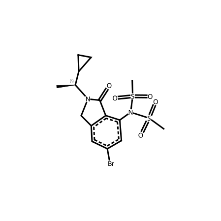 C[C@@H](C1CC1)N1Cc2cc(Br)cc(N(S(C)(=O)=O)S(C)(=O)=O)c2C1=O